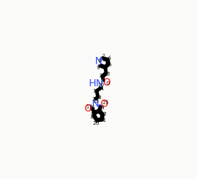 O=C(C=Cc1cccnc1)NCCCCN1C(=O)c2ccccc2C1=O